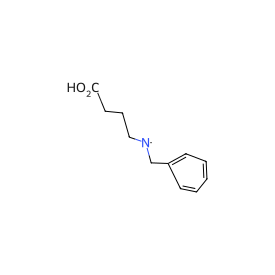 O=C(O)CCC[N]Cc1ccccc1